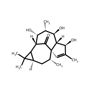 CC1=C[C@@]23C(=O)[C@H](C4[C@@H](C[C@H]2C)C4(C)C)[C@H](O)[C@H](C)[C@@H](O)[C@@H]3[C@H]1O